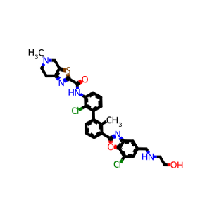 Cc1c(-c2nc3cc(CNCCO)cc(Cl)c3o2)cccc1-c1cccc(NC(=O)c2nc3c(s2)CN(C)CC3)c1Cl